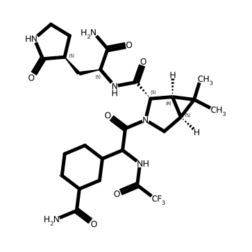 CC1(C)[C@@H]2[C@@H](C(=O)N[C@@H](C[C@@H]3CCNC3=O)C(N)=O)N(C(=O)C(NC(=O)C(F)(F)F)C3CC[CH]C(C(N)=O)C3)C[C@@H]21